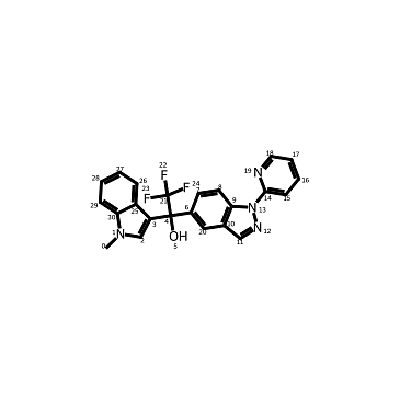 Cn1cc(C(O)(c2ccc3c(cnn3-c3ccccn3)c2)C(F)(F)F)c2ccccc21